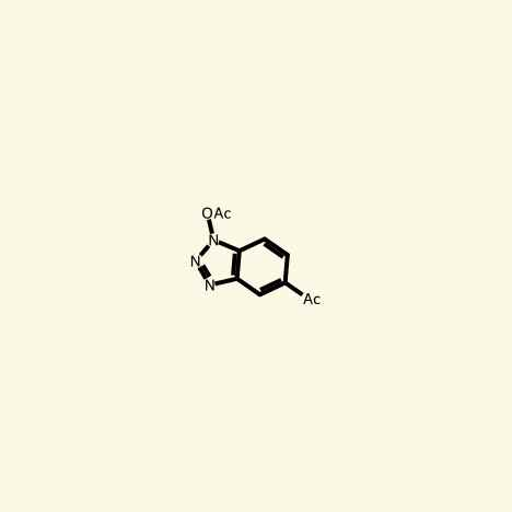 CC(=O)On1nnc2cc(C(C)=O)ccc21